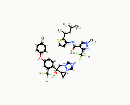 CC(C)CC(C)c1sccc1NC(=O)c1cn(C)nc1C(F)(F)F.OC(Cn1cncn1)(c1ccc(Oc2ccc(Cl)cc2)cc1C(F)(F)F)C1CC1